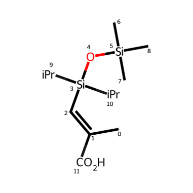 CC(=C[Si](O[Si](C)(C)C)(C(C)C)C(C)C)C(=O)O